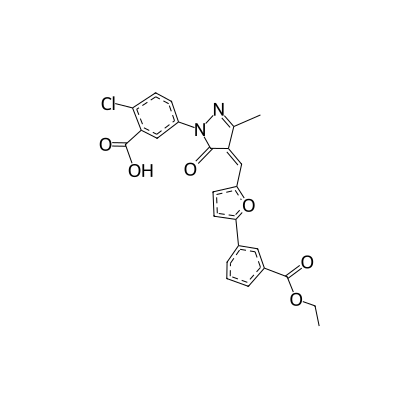 CCOC(=O)c1cccc(-c2ccc(/C=C3\C(=O)N(c4ccc(Cl)c(C(=O)O)c4)N=C3C)o2)c1